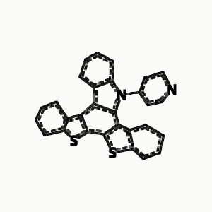 c1ccc2c(c1)sc1c3sc4ccccc4c3c3c(c4ccccc4n3-c3ccncc3)c21